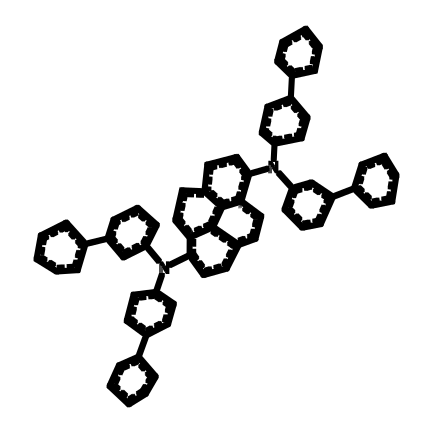 c1ccc(-c2ccc(N(c3cccc(-c4ccccc4)c3)c3ccc4ccc5c(N(c6ccc(-c7ccccc7)cc6)c6cccc(-c7ccccc7)c6)ccc6ccc3c4c65)cc2)cc1